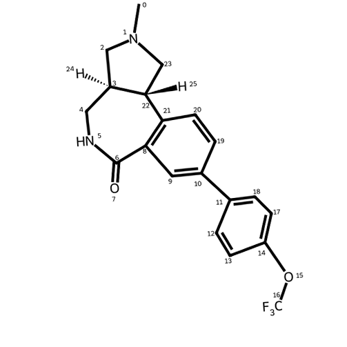 CN1C[C@@H]2CNC(=O)c3cc(-c4ccc(OC(F)(F)F)cc4)ccc3[C@H]2C1